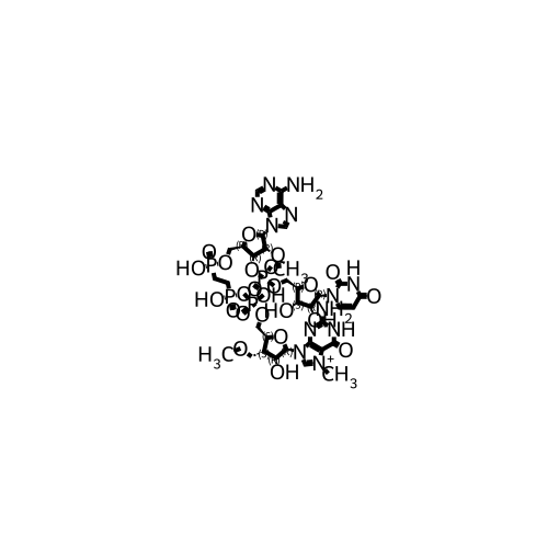 COC[C@H]1[C@@H](O)[C@H](n2c[n+](C)c3c(=O)[nH]c(N)nc32)O[C@@H]1COP(=O)(O)OP(=O)(O)CCP(=O)(O)OC[C@H]1O[C@@H](n2cnc3c(N)ncnc32)[C@H](OC)[C@@H]1OP(=O)([O-])OC[C@H]1O[C@@H](n2ccc(=O)[nH]c2=O)[C@H](O)[C@@H]1O